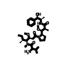 CC[C@@H](C)[C@H]([C@H](CC(=O)N1CCC[C@@H]1[C@@H](OC)[C@H](C)C(=O)N[C@@H](C)[C@H](O)c1ccccc1)OC)N(C)C(=O)C(N)C(C)C